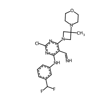 CC1(N2CCOCC2)CN(c2nc(Cl)nc(Nc3cccc(C(F)F)c3)c2C=N)C1